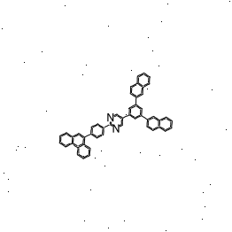 c1ccc2cc(-c3cc(-c4cnc(-c5ccc(-c6cc7ccccc7c7ccccc67)cc5)nc4)cc(-c4ccc5ccccc5c4)c3)ccc2c1